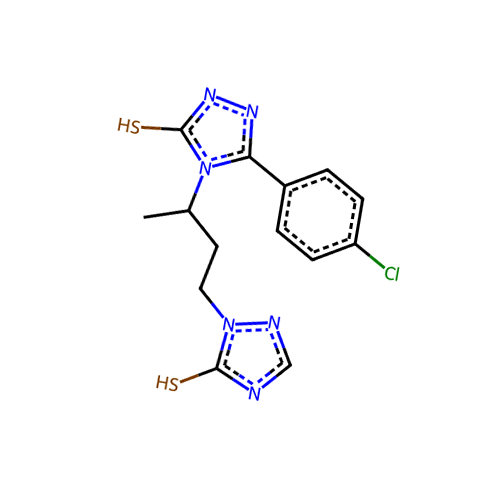 CC(CCn1ncnc1S)n1c(S)nnc1-c1ccc(Cl)cc1